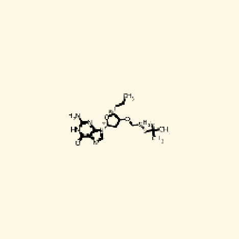 CCC[C@H]1O[C@@H](n2cnc3c(=O)[nH]c(N)nc32)CC1OCSSC(C)(C)C